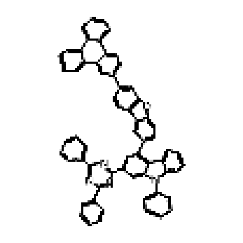 c1ccc(-c2nc(-c3ccccc3)nc(-c3cc(-c4ccc5oc6cc(-c7ccc8c9ccccc9c9ccccc9c8c7)ccc6c5c4)c4c5ccccc5n(-c5ccccc5)c4c3)n2)cc1